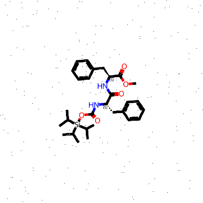 COC(=O)[C@H](Cc1ccccc1)NC(=O)[C@H](Cc1ccccc1)NC(=O)O[Si](C(C)C)(C(C)C)C(C)C